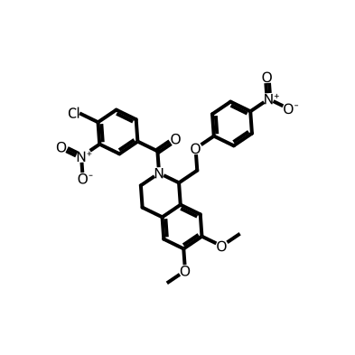 COc1cc2c(cc1OC)C(COc1ccc([N+](=O)[O-])cc1)N(C(=O)c1ccc(Cl)c([N+](=O)[O-])c1)CC2